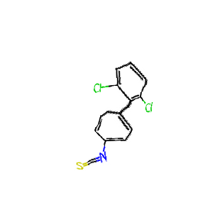 S=C=Nc1ccc(-c2c(Cl)cccc2Cl)cc1